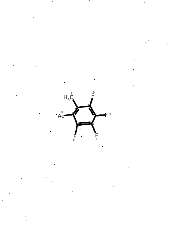 CC(=O)c1c(C)c(F)c(F)c(F)c1F